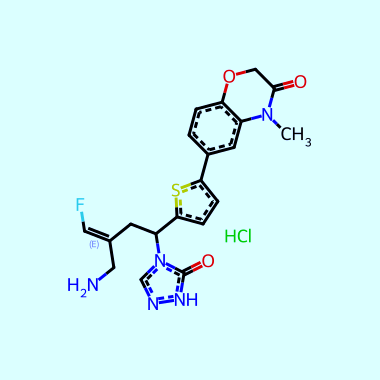 CN1C(=O)COc2ccc(-c3ccc(C(C/C(=C\F)CN)n4cn[nH]c4=O)s3)cc21.Cl